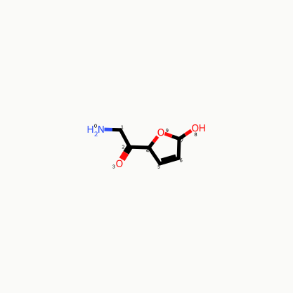 NCC(=O)C1C=CC(O)O1